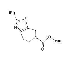 CC(C)(C)OC(=O)N1CCc2nc(C(C)(C)C)sc2C1